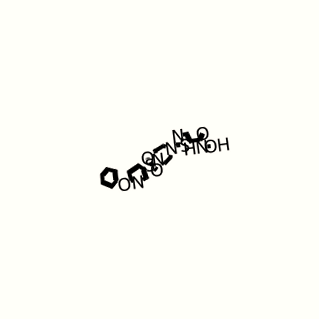 O=C(NO)c1cnc(N2CCN(S(=O)(=O)c3ccc(Oc4ccccc4)nc3)CC2)s1